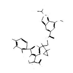 COc1cc(C(=O)NCC(O)(c2cc3c(c(-c4ccc(F)c(F)c4F)n2)OC[C@]3(C)C(N)=O)C2(F)CC2)cc2cn(C(F)F)nc12